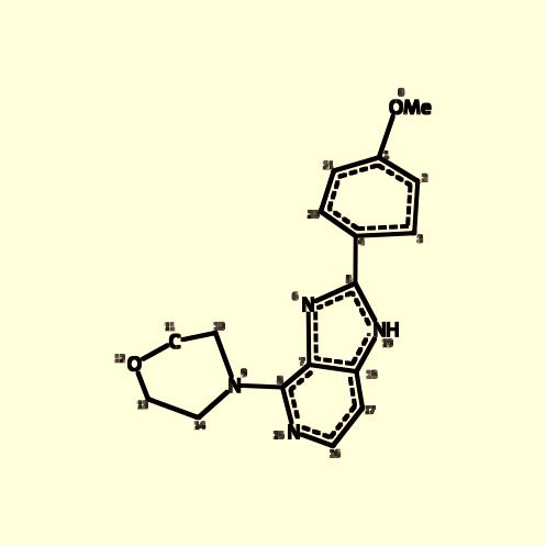 COc1ccc(-c2nc3c(N4CCOCC4)nccc3[nH]2)cc1